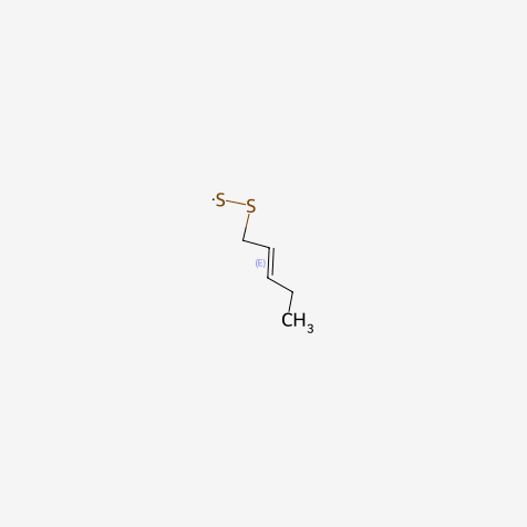 CC/C=C/CS[S]